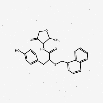 CC1OCC(=O)C1NC(=O)C(Cc1ccc(O)cc1)SCc1cccc2ccccc12